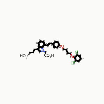 O=C(O)CCCc1cn(CC(=O)O)c2c(C=Cc3ccc(OCCCCOc4c(Cl)cccc4Cl)cc3)cccc12